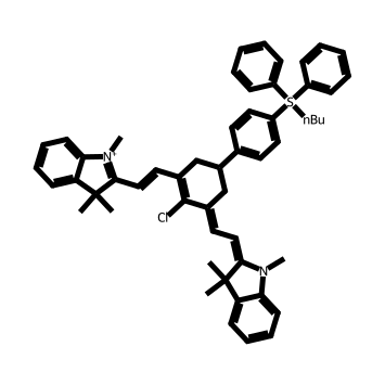 CCCCS(c1ccccc1)(c1ccccc1)c1ccc(C2CC(/C=C/C3=[N+](C)c4ccccc4C3(C)C)=C(Cl)C(=C/C=C3/N(C)c4ccccc4C3(C)C)/C2)cc1